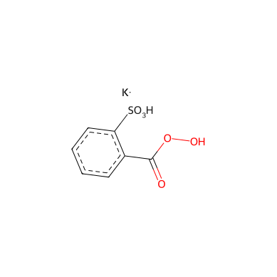 O=C(OO)c1ccccc1S(=O)(=O)O.[K]